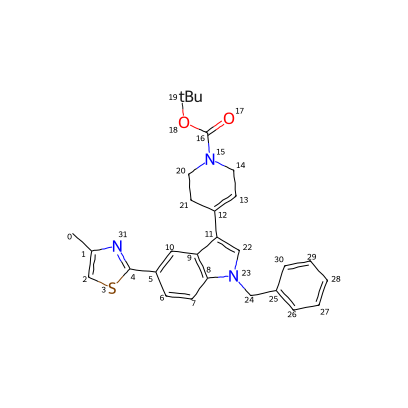 Cc1csc(-c2ccc3c(c2)c(C2=CCN(C(=O)OC(C)(C)C)CC2)cn3Cc2ccccc2)n1